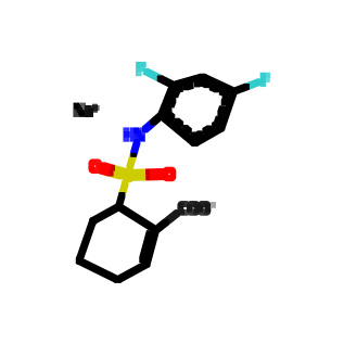 O=C([O-])C1=CCCCC1S(=O)(=O)Nc1ccc(F)cc1F.[Na+]